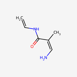 C=CNC(=O)/C(C)=C\N